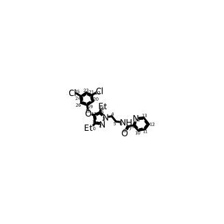 CCc1nn(CCNC(=O)c2ccccn2)c(CC)c1Oc1cc(Cl)cc(Cl)c1